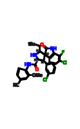 COc1cc(C#N)ccc1NC(=O)[C@@H]1N[C@@H](CC(C)(C)C)[C@@]2(C(=O)Nc3c2ccc(Cl)c3F)[C@H]1c1cccc(Cl)c1